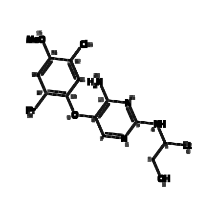 CCC(CO)Nc1ncc(Oc2cc(Cl)c(OC)cc2C(C)C)c(N)n1